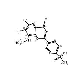 CS(=O)(=O)c1ccc(-c2cc(=O)c3cc(F)c(N)c(NS(=O)(=O)O)c3o2)cc1